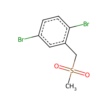 CS(=O)(=O)Cc1cc(Br)ccc1Br